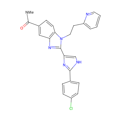 CNC(=O)c1ccc2c(c1)nc(-c1c[nH]c(-c3ccc(Cl)cc3)n1)n2CCc1ccccn1